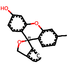 Cc1ccc2c(c1)Oc1cc(O)ccc1[C@]21OCc2ccccc21